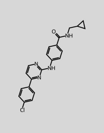 O=C(NCC1CC1)c1ccc(Nc2nccc(-c3ccc(Cl)cc3)n2)cc1